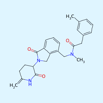 C=C1CCC(N2Cc3c(CN(C)C(=O)Cc4cccc(C)c4)cccc3C2=O)C(=O)N1